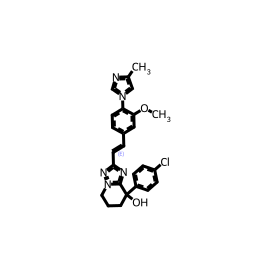 COc1cc(/C=C/c2nc3n(n2)CCCC3(O)c2ccc(Cl)cc2)ccc1-n1cnc(C)c1